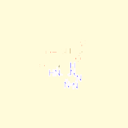 CS(C)(=O)=O.O=C(O)[C@H](CS)Nc1nnn[nH]1